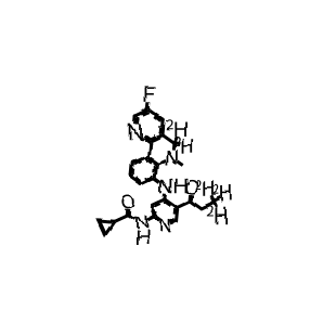 [2H]C([2H])([2H])CC(=O)c1cnc(NC(=O)C2CC2)cc1Nc1cccc2c1N(C)C([2H])([2H])c1cc(F)cnc1-2